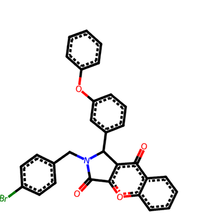 O=C1c2oc3ccccc3c(=O)c2C(c2cccc(Oc3ccccc3)c2)N1Cc1ccc(Br)cc1